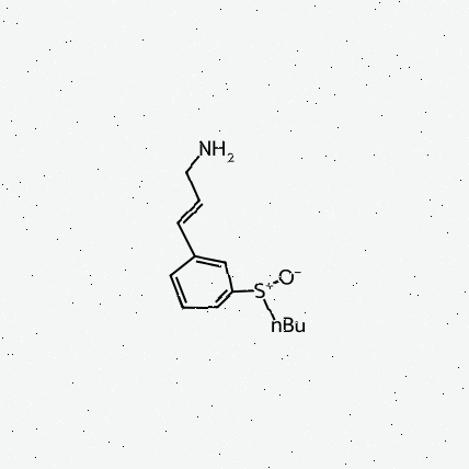 CCCC[S+]([O-])c1cccc(C=CCN)c1